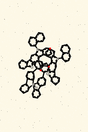 O=S12(c3ccccc3-c3ccc(-c4cccc(-c5c6oc7ccccc7c6cc6c5c5ccccc5n6-c5cccc6ccccc56)c4)cc31)c1ccccc1-c1ccc(-c3cccc(-c4c5oc6ccccc6c5cc5c4c4ccccc4n5-c4cccc5ccccc45)c3)cc12